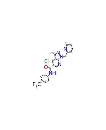 Cc1cccc(Cn2nc(C)c3c(Cl)c(C(=O)Nc4ccc(C(F)(F)F)cc4)cnc32)n1